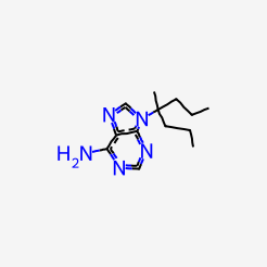 CCCC(C)(CCC)n1cnc2c(N)ncnc21